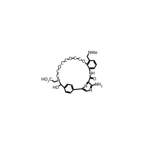 CNCc1cccc2c1OCCOCCOCCN(CC(=O)O)C(O)c1ccc(cc1)-c1cnc(N)c(n1)C(=O)N2